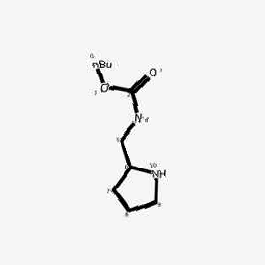 CCCCOC(=O)[N]CC1CCCN1